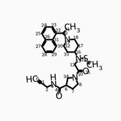 C#CCNC(=O)C1CCN(C(=O)CN(SC)C2CCN(C(C)c3cccc4ccccc34)CC2)C1